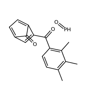 Cc1ccc(C(=O)C2=CC3=CC=C2C3=O)c(C)c1C.O=P